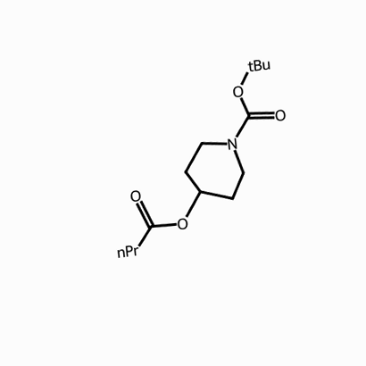 CCCC(=O)OC1CCN(C(=O)OC(C)(C)C)CC1